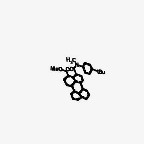 COC(=O)c1ccc2c3cccc4cccc(c5ccc(C(=O)N(C)c6ccc(C(C)(C)C)cc6)c1c25)c43